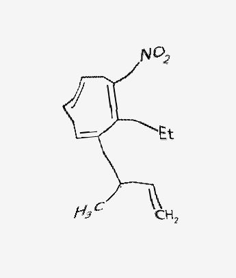 C=C[C](C)c1cccc([N+](=O)[O-])c1CC